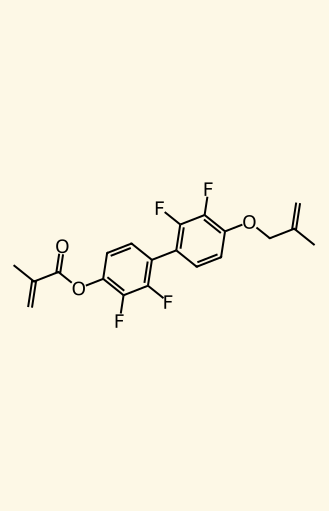 C=C(C)COc1ccc(-c2ccc(OC(=O)C(=C)C)c(F)c2F)c(F)c1F